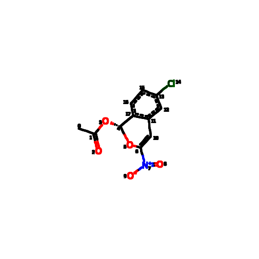 CC(=O)O[C@H]1OC([N+](=O)[O-])=Cc2cc(Cl)ccc21